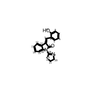 O=C1C(=Cc2ccccc2O)c2ccccc2N1C1=NCCS1